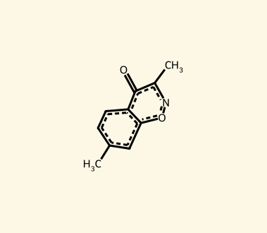 Cc1ccc2c(=O)c(C)noc2c1